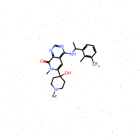 CC(=O)N1CCC(O)(c2cc3c(NC(C)c4cccc(C(F)(F)F)c4C)ncnc3c(=O)n2C)CC1